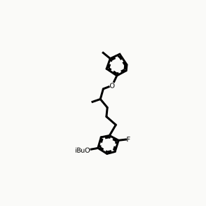 Cc1cccc(OCC(C)CCCc2cc(OCC(C)C)ccc2F)c1